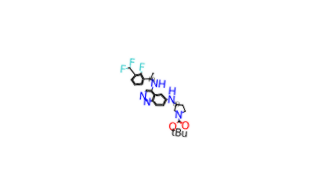 C[C@@H](Nc1cnnc2ccc(N[C@H]3CCN(C(=O)OC(C)(C)C)C3)cc12)c1cccc(C(F)F)c1F